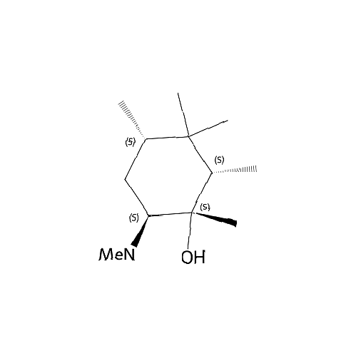 CN[C@H]1C[C@H](C)C(C)(C)[C@H](C)[C@]1(C)O